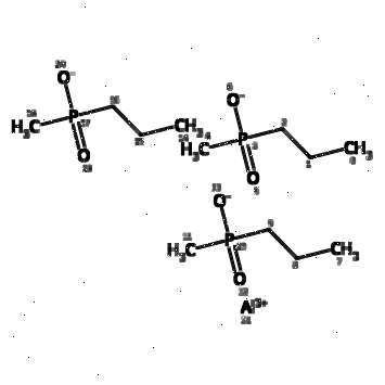 CCCP(C)(=O)[O-].CCCP(C)(=O)[O-].CCCP(C)(=O)[O-].[Al+3]